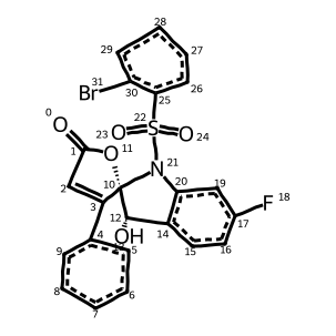 O=C1C=C(c2ccccc2)[C@]2(O1)[C@@H](O)c1ccc(F)cc1N2S(=O)(=O)c1ccccc1Br